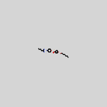 CCCCCCCCOc1ccc(C(=O)Oc2ccc(-c3ncc(CCCCC)cn3)cc2)c(F)c1